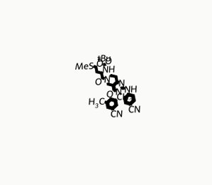 CSCCC(NC(=O)OC(C)(C)C)C(=O)N1CCc2nc(Nc3ccc(C#N)cc3)nc(Oc3c(C)cc(C#N)cc3C)c2C1